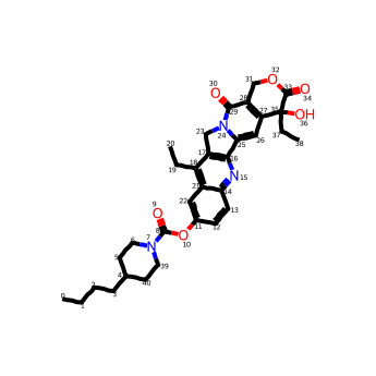 CCCCC1CCN(C(=O)Oc2ccc3nc4c(c(CC)c3c2)Cn2c-4cc3c(c2=O)COC(=O)C3(O)CC)CC1